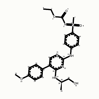 CCOC(=O)N=S(C)(=O)c1ccc(Nc2ncc(-c3ccc(OC)cc3)c(N[C@H](C)CO)n2)cc1